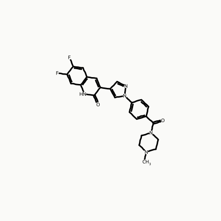 CN1CCN(C(=O)c2ccc(-n3cc(-c4cc5cc(F)c(F)cc5[nH]c4=O)cn3)cc2)CC1